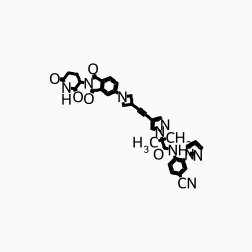 CC(C)(C(=O)Nc1ccc(C#N)cc1-n1cccn1)n1cc(C#CC2CN(c3ccc4c(c3)C(=O)N(C3CCC(=O)NC3=O)C4=O)C2)cn1